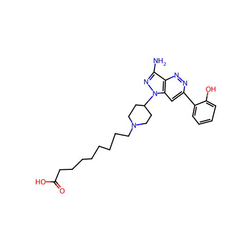 Nc1nn(C2CCN(CCCCCCCCC(=O)O)CC2)c2cc(-c3ccccc3O)nnc12